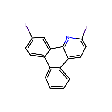 Ic1ccc2c3ccccc3c3ccc(I)nc3c2c1